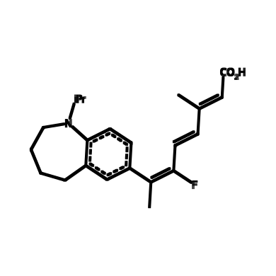 CC(/C=C/C(F)=C(/C)c1ccc2c(c1)CCCCN2C(C)C)=C\C(=O)O